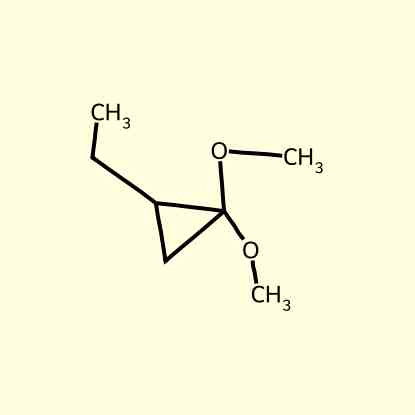 CCC1CC1(OC)OC